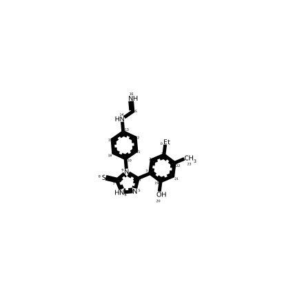 CCc1cc(-c2n[nH]c(=S)n2-c2ccc(NC=N)cc2)c(O)cc1C